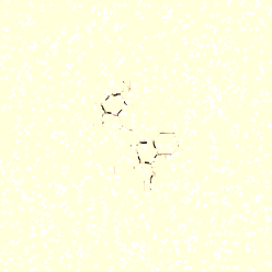 N=Cc1c(O)nc(SCc2cc([N+](=O)[O-])ccc2O)c2c1CCCC2